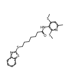 CSc1cc(C)nc(SC)c1NC(=O)CCCCCCSc1nc2ccccc2s1